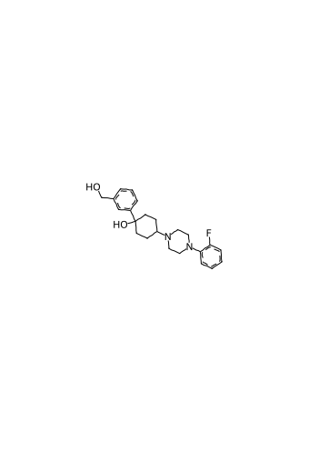 OCc1cccc(C2(O)CCC(N3CCN(c4ccccc4F)CC3)CC2)c1